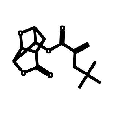 C=C(C[Si](C)(C)C)C(=O)OC1C2CC3C(=O)OC1C3O2